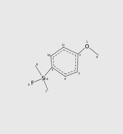 COc1ccc([Si](C)(C)F)cc1